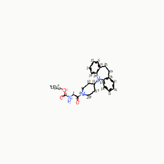 CC(C)(C)OC(=O)NCC(=O)N1CCC(N2c3ccccc3CCc3ccccc32)CC1